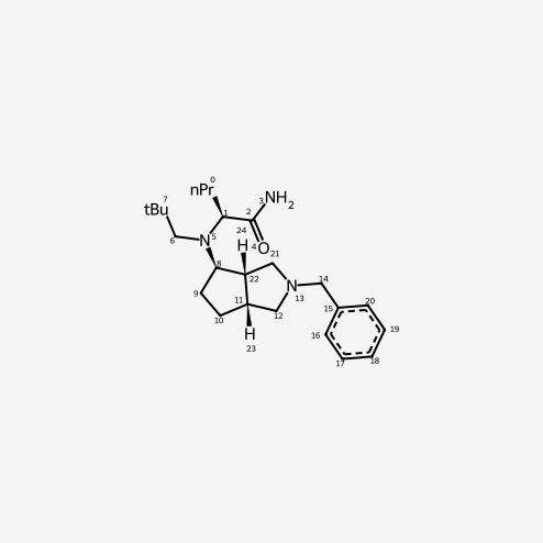 CCC[C@@H](C(N)=O)N(CC(C)(C)C)[C@@H]1CC[C@H]2CN(Cc3ccccc3)C[C@H]21